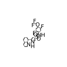 O=S(=O)(Nc1cc(F)c(OC(F)F)cc1F)c1c[nH]c(-c2cccc3cccnc23)c1